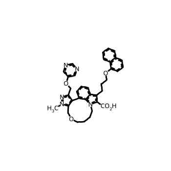 Cn1nc(COc2cncnc2)c2c1COCCCCn1c(C(=O)O)c(CCCOc3cccc4ccccc34)c3cccc-2c31